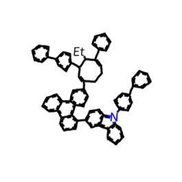 CCC1/C(c2ccccc2)=C\CC/C(c2ccc3c(c2)c2ccccc2c2cccc(-c4ccc5c(c4)c4ccccc4n5-c4ccc(-c5ccccc5)cc4)c23)=C\C1c1ccc(-c2ccccc2)cc1